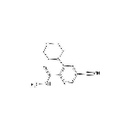 C#Cc1cnc(C(=O)NC)c(N2CCOCC2)c1